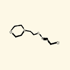 ClC/C=N/OCCN1CCOCC1